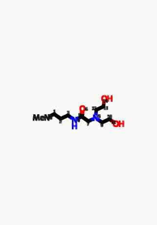 CNCCCNC(=O)CN(CCO)CCO